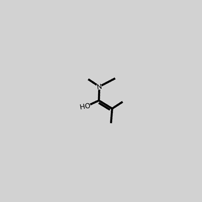 CC(C)=C(O)N(C)C